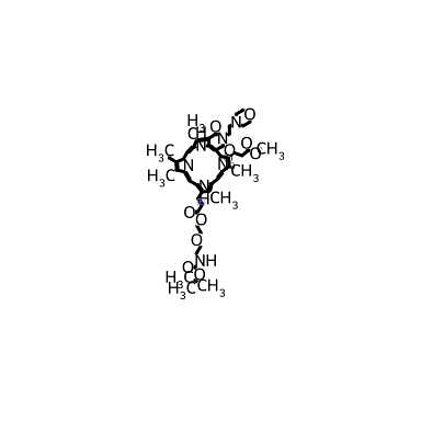 CCC1=C(C)c2cc3[nH]c(cc4nc(c5c6[nH]c(cc1n2)c(C)c6C(=O)N(CCN1CCOCC1)C5=O)[C@@H](CCC(=O)OC)[C@@H]4C)c(C)c3/C=C/C(=O)OCCOCCNC(=O)OC(C)(C)C